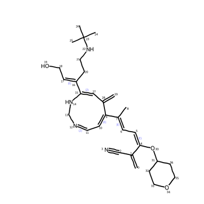 C=C(C#N)\C(=C/C=C(C)/C1=C/C=N\CNC(/C(=C/CO)CCNC(C)(C)C)=C\C1=C)OC1CCOCC1